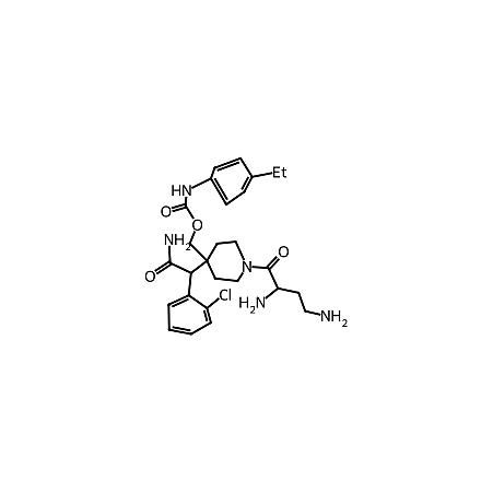 CCc1ccc(NC(=O)OCC2(C(C(N)=O)c3ccccc3Cl)CCN(C(=O)C(N)CCN)CC2)cc1